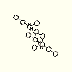 c1ccc(-c2ccc(-c3cc(-c4cccc(-c5ccccc5-c5ccccc5-c5cccc(-c6cc(-c7ccc(-c8ccccc8)cc7)nc(-c7ccccc7)n6)c5)c4)nc(-c4ccccc4)n3)cc2)cc1